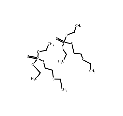 CCOP(=S)(OCC)SCCSCC.CCOP(=S)(OCC)SCCSCC